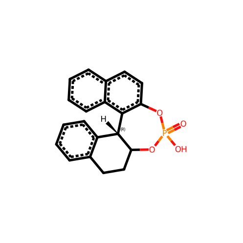 O=P1(O)Oc2ccc3ccccc3c2[C@H]2c3ccccc3CCC2O1